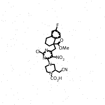 COC(=O)C1(Cc2nc(Cl)nc(N3CCN(C(=O)O)C(CC#N)C3)c2[N+](=O)[O-])CCCc2cc(F)ccc21